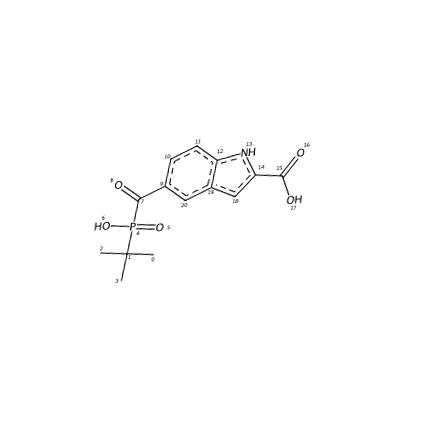 CC(C)(C)P(=O)(O)C(=O)c1ccc2[nH]c(C(=O)O)cc2c1